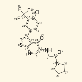 O=C(CNn1cnc2scc(-c3ccc(Cl)c(C(F)(F)F)c3)c2c1=O)N1CCCC1